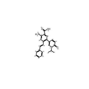 CC(C)n1cc(-c2nc(C(=O)O)c(N)nc2C=Cc2ccccc2)ccc1=O